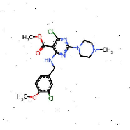 COC(=O)c1c(Cl)nc(N2CCN(C)CC2)nc1NCc1ccc(OC)c(Cl)c1